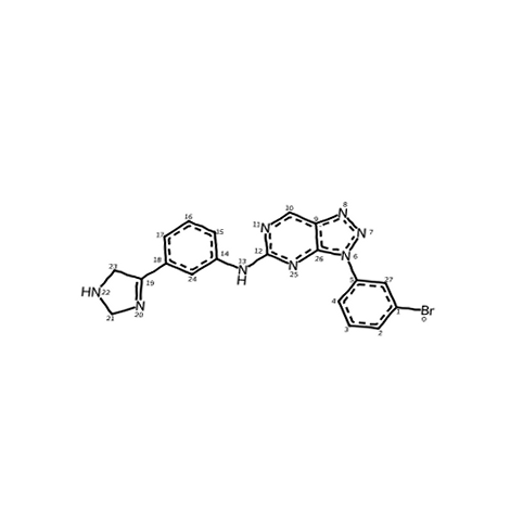 Brc1cccc(-n2nnc3cnc(Nc4cccc(C5=NCNC5)c4)nc32)c1